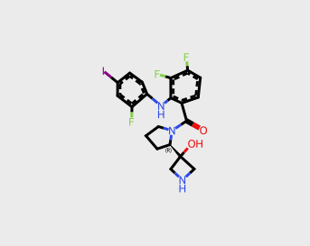 O=C(c1ccc(F)c(F)c1Nc1ccc(I)cc1F)N1CCC[C@@H]1C1(O)CNC1